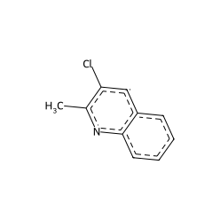 Cc1nc2ccccc2[c]c1Cl